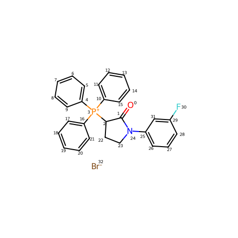 O=C1C([P+](c2ccccc2)(c2ccccc2)c2ccccc2)CCN1c1cccc(F)c1.[Br-]